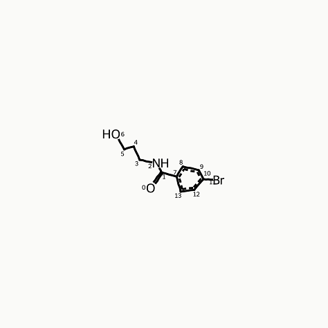 O=C(NCCCO)c1ccc(Br)cc1